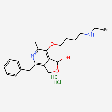 Cc1nc(Cc2ccccc2)c2c(c1OCCCCNCC(C)C)C(O)OC2.Cl.Cl